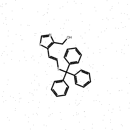 OCc1ncsc1C=CSC(c1ccccc1)(c1ccccc1)c1ccccc1